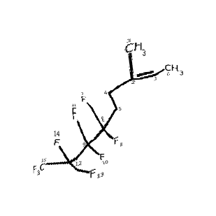 CC=C(C)CCC(F)(F)C(F)(F)C(F)(F)C(F)(F)F